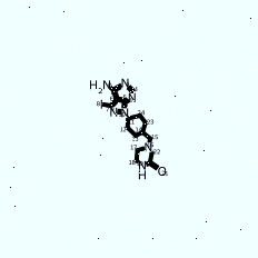 Nc1ncnc2c1c(I)nn2C1CCC(CN2CCNC(=O)C2)CC1